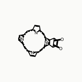 O=C1C(=O)C2C=CC1c1c2c2cc3nc(cc4ccc(cc5nc(cc1[nH]2)C=C5)[nH]4)C=C3